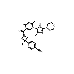 Cc1cc(C)c(-c2[nH]c(C3CCOCC3)nc2C)cc1C(=O)N1CC(F)(c2ccc(C#N)cc2)C1